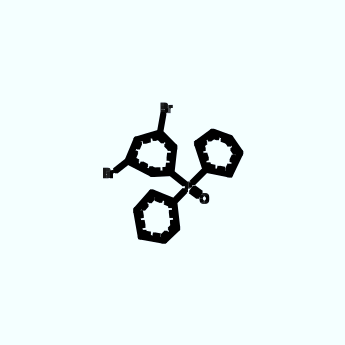 O=P(c1ccccc1)(c1ccccc1)c1cc(Br)cc(Br)c1